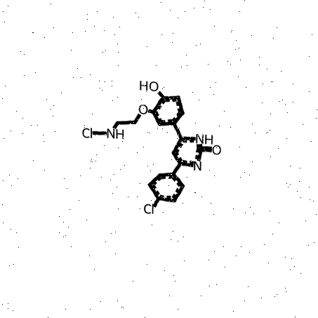 O=c1nc(-c2ccc(Cl)cc2)cc(-c2ccc(O)c(OCCNCl)c2)[nH]1